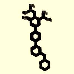 C=C(C)C1=CC(c2ccc(C3=CCCC(CN4CCCCC4)=C3)cc2)=CC(=C)/C1=N\N(C)C